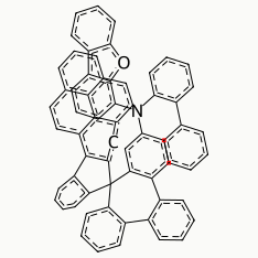 c1ccc(-c2ccccc2N(c2ccc3c(c2)C2(c4ccccc4-c4ccccc4-3)c3ccccc3-c3c2cc2ccc4cccc5ccc3c2c45)c2cccc3c2oc2ccccc23)cc1